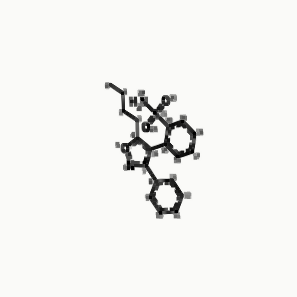 CCCCc1onc(-c2ccccc2)c1-c1ccccc1S(N)(=O)=O